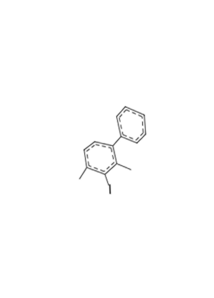 Cc1ccc(-c2ccccc2)c(C)c1I